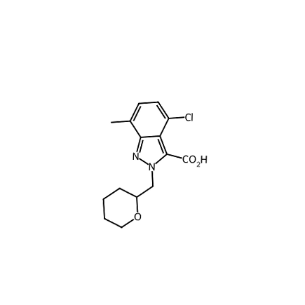 Cc1ccc(Cl)c2c(C(=O)O)n(CC3CCCCO3)nc12